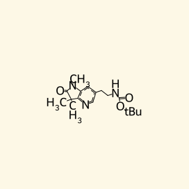 CN1C(=O)C(C)(C)c2ncc(CCNC(=O)OC(C)(C)C)cc21